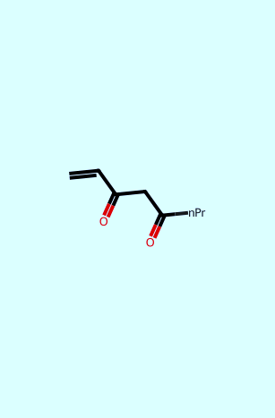 C=CC(=O)CC(=O)CCC